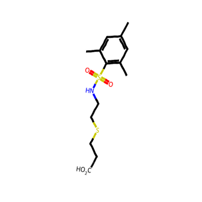 Cc1cc(C)c(S(=O)(=O)NCCSCCC(=O)O)c(C)c1